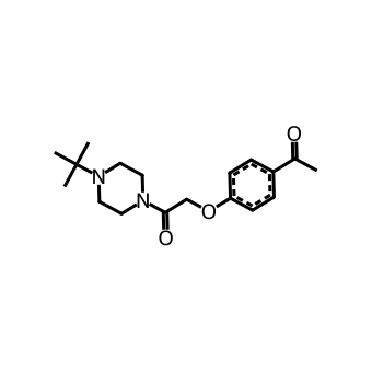 CC(=O)c1ccc(OCC(=O)N2CCN(C(C)(C)C)CC2)cc1